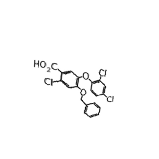 O=C(O)c1cc(Oc2ccc(Cl)cc2Cl)c(OCc2ccccc2)cc1Cl